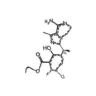 CCOC(=O)c1c(O)c([C@H](C)c2nc(C)c3c(N)nccn23)cc(Cl)c1F